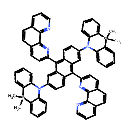 C[Si]1(C)c2ccccc2N(c2ccc3c(-c4ccc5ccc6cccnc6c5n4)c4cc(N5c6ccccc6[Si](C)(C)c6ccccc65)ccc4c(-c4ccc5ccc6cccnc6c5n4)c3c2)c2ccccc21